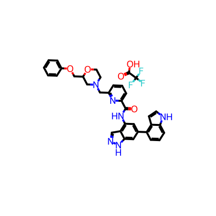 O=C(Nc1cc(-c2cccc3[nH]ccc23)cc2[nH]ncc12)c1cccc(CN2CCOC(COc3ccccc3)C2)n1.O=C(O)C(F)(F)F